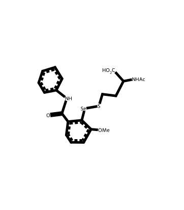 COc1cccc(C(=O)Nc2ccccc2)c1[Se]SCCC(NC(C)=O)C(=O)O